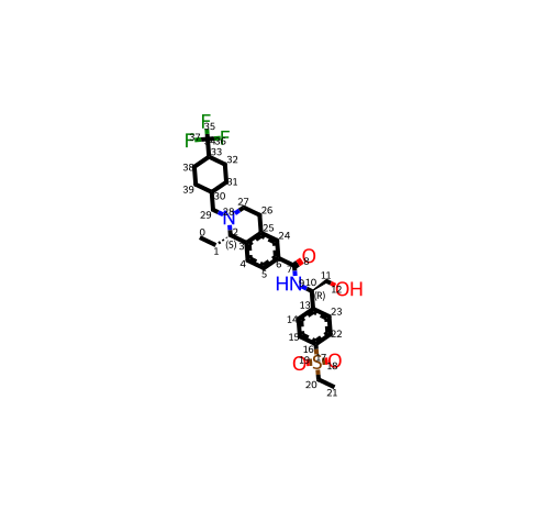 CC[C@H]1c2ccc(C(=O)N[C@@H](CO)c3ccc(S(=O)(=O)CC)cc3)cc2CCN1CC1CCC(C(F)(F)F)CC1